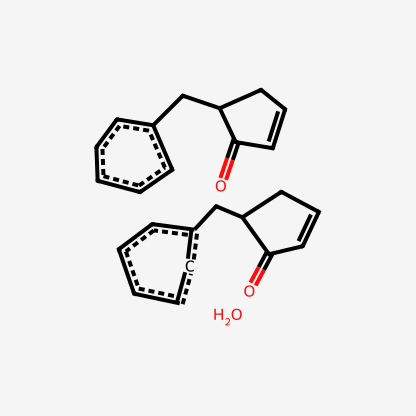 O.O=C1C=CCC1Cc1ccccc1.O=C1C=CCC1Cc1ccccc1